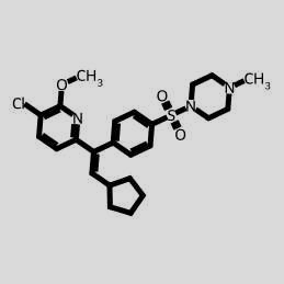 COc1nc(/C(=C/C2CCCC2)c2ccc(S(=O)(=O)N3CCN(C)CC3)cc2)ccc1Cl